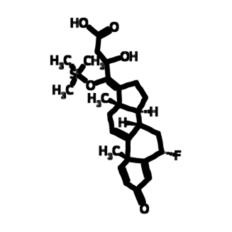 C[C@]12C=CC(=O)C=C1[C@@H](F)C[C@@H]1C2=CC[C@]2(C)C(=C(O[Si](C)(C)C)C(O)CC(=O)O)CC[C@@H]12